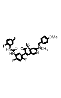 CCn1c(=O)c(-c2cc(NC(=O)Nc3cc(F)ccc3F)c(F)cc2F)cc2cnc(N(C)Cc3ccc(OC)cc3)cc21